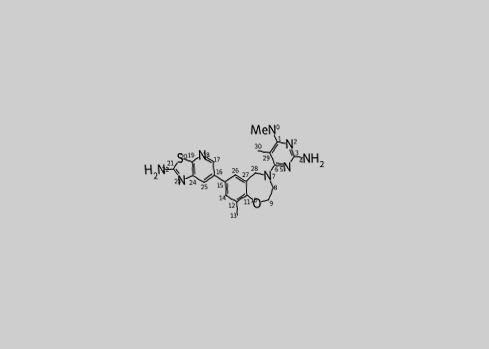 CNc1nc(N)nc(N2CCOc3c(C)cc(-c4cnc5sc(N)nc5c4)cc3C2)c1C